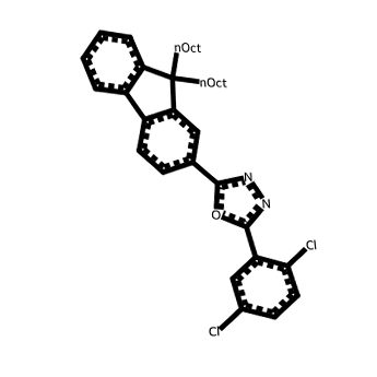 CCCCCCCCC1(CCCCCCCC)c2ccccc2-c2ccc(-c3nnc(-c4cc(Cl)ccc4Cl)o3)cc21